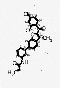 C=CC(=O)Nc1cccc(-c2ccc3c(C)c(C(=O)c4ccc(Cl)cc4Cl)oc3c2)c1